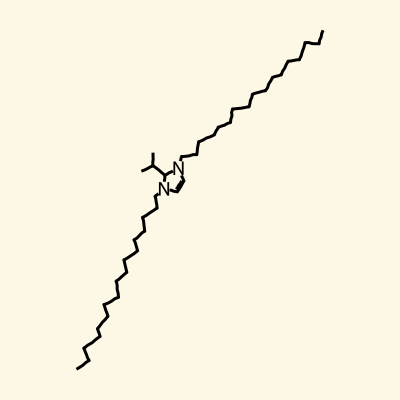 CCCCCCCCCCCCCCCCCN1C=CN(CCCCCCCCCCCCCCCCC)C1C(C)C